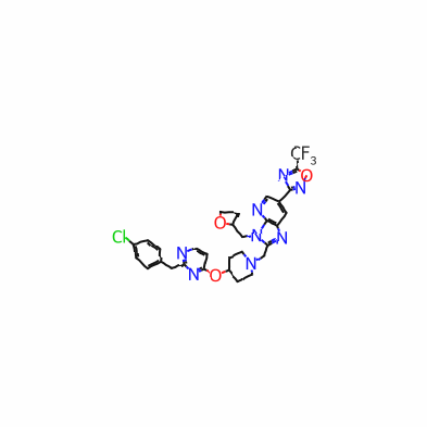 FC(F)(F)c1nc(-c2cnc3c(c2)nc(CN2CCC(Oc4ccnc(Cc5ccc(Cl)cc5)n4)CC2)n3CC2CCO2)no1